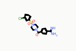 N=C(N)c1ccc(C(=O)N2CCN(S(=O)(=O)c3cccc(Cl)c3)CC2)cc1